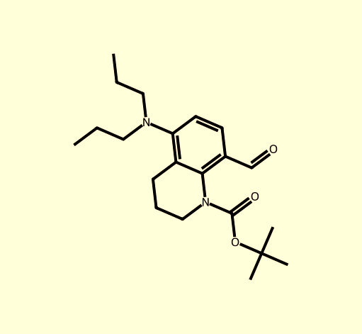 CCCN(CCC)c1ccc(C=O)c2c1CCCN2C(=O)OC(C)(C)C